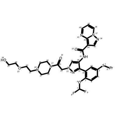 CC(C)Sc1ccc(OC(F)F)c(-c2nn(CC(=O)N3CCN(CCOCCO)CC3)cc2NC(=O)c2cnn3cccnc23)c1